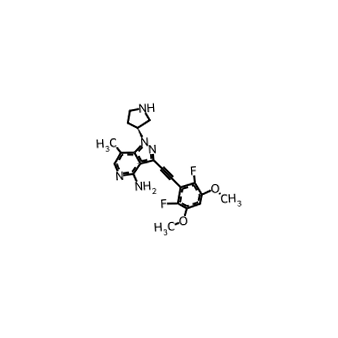 COc1cc(OC)c(F)c(C#Cc2nn([C@H]3CCNC3)c3c(C)cnc(N)c23)c1F